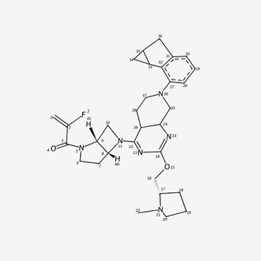 C=C(F)C(=O)N1CC[C@@H]2[C@H]1CN2C1=NC(OC[C@@H]2CCCN2C)=NC2CN(c3cccc4c3C3CC3C4)CCC12